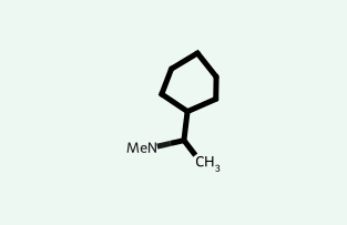 [CH2]NC(C)C1CCCCC1